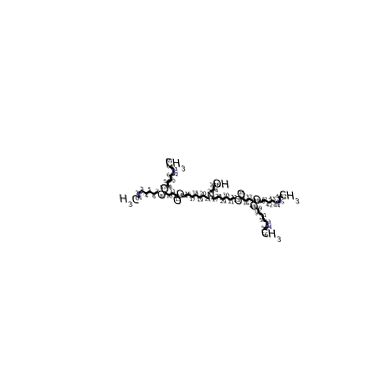 CC/C=C\CCCCOC(CCC(=O)OCCCCCCCN(CCCO)CCCCCCOC(=O)CCC(OCCCC/C=C\CC)OCCCC/C=C\CC)OCCCC/C=C\CC